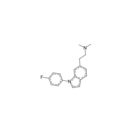 CN(C)CCc1ccc2ccn(-c3ccc(F)cc3)c2c1